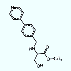 COC(=O)C(CO)NCc1ccc(-c2ccncc2)cc1